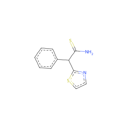 NC(=S)C(c1ccccc1)c1nccs1